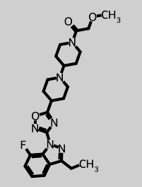 CCc1nn(-c2noc(C3CCN(C4CCN(C(=O)COC)CC4)CC3)n2)c2c(F)cccc12